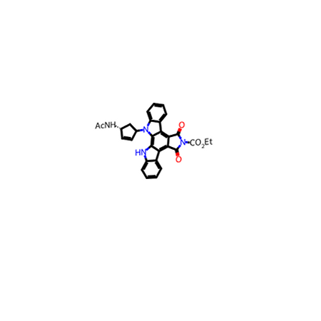 CCOC(=O)N1C(=O)c2c(c3c4ccccc4n(C4C=C[C@H](NC(C)=O)C4)c3c3[nH]c4ccccc4c23)C1=O